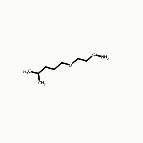 CC(C)CCCOCCON